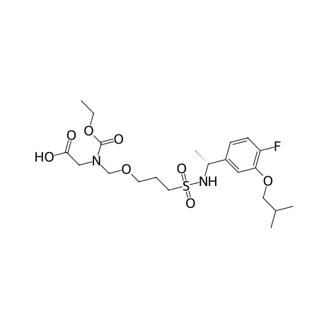 CCOC(=O)N(COCCCS(=O)(=O)N[C@H](C)c1ccc(F)c(OCC(C)C)c1)CC(=O)O